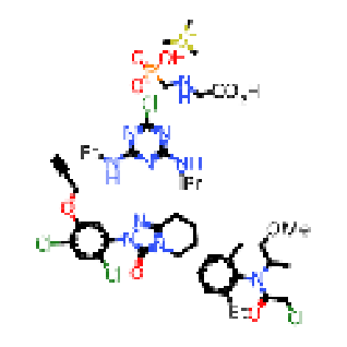 C#CCOc1cc(-n2nc3n(c2=O)CCCC3)c(Cl)cc1Cl.CCNc1nc(Cl)nc(NC(C)C)n1.CCc1cccc(C)c1N(C(=O)CCl)C(C)COC.C[S+](C)C.O=C(O)CNCP(=O)([O-])O